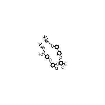 CC(C)(C)[Si](C)(C)OCCC(O)c1ccc(OCc2ccc(Cl)c(Cl)c2)cc1.CC(C)(C)[Si](C)(C)OCCCOc1cccc(-c2ccc(OCc3ccc(Cl)c(Cl)c3)cc2)c1